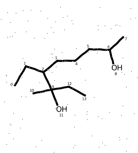 CCC(CCCC(C)O)C(C)(O)CC